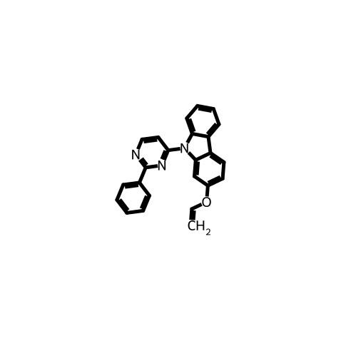 C=COc1ccc2c3ccccc3n(-c3ccnc(-c4ccccc4)n3)c2c1